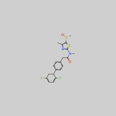 Cc1nc(N(C)C(=O)Cc2ccc(C3CC(F)=CC=C3F)cc2)sc1[S+](C)[O-]